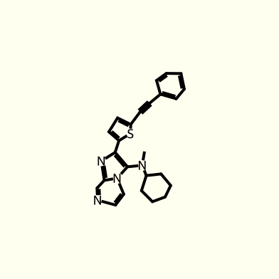 CN(c1c(-c2ccc(C#Cc3ccccc3)s2)nc2cnccn12)C1CCCCC1